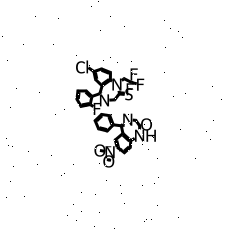 Fc1ccccc1C1=NCC(=S)N(CC(F)(F)F)c2ccc(Cl)cc21.O=C1CN=C(c2ccccc2)c2cc([N+](=O)[O-])ccc2N1